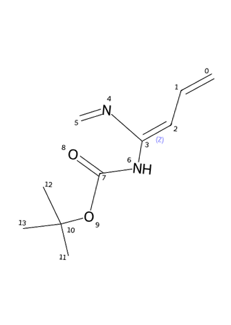 C=C/C=C(\N=C)NC(=O)OC(C)(C)C